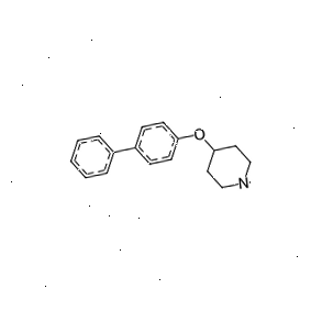 c1ccc(-c2ccc(OC3CC[N]CC3)cc2)cc1